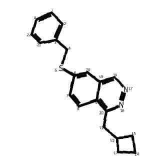 c1ccc(CSc2ccc3c(CC4CCC4)nncc3c2)cc1